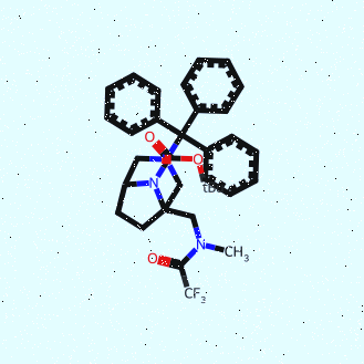 CN(CC12CCC(CN(C(c3ccccc3)(c3ccccc3)c3ccccc3)C1)N2C(=O)OC(C)(C)C)C(=O)C(F)(F)F